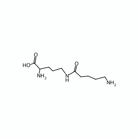 NCCCCC(=O)NCCCC(N)C(=O)O